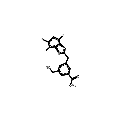 COC(=O)c1cc(CC#N)cc(Cc2nc3c(F)c(F)cc(F)c3s2)c1